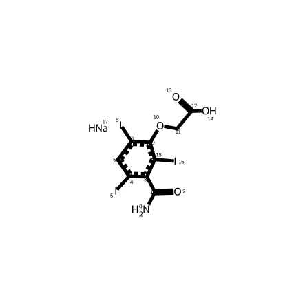 NC(=O)c1c(I)cc(I)c(OCC(=O)O)c1I.[NaH]